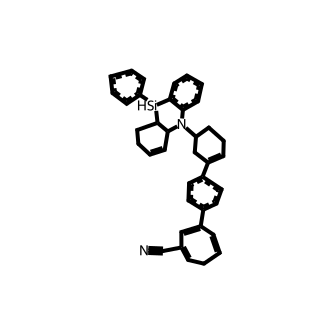 N#CC1=CCC=CC(c2ccc(C3=CCCC(N4c5ccccc5[SiH](c5ccccc5)C5CCC=CC54)C3)cc2)=C1